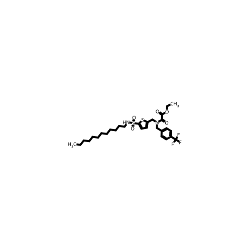 CCCCCCCCCCCCNS(=O)(=O)c1ccc(CN(Cc2ccc(C(F)(F)F)cc2)C(=O)C(=O)OCC)s1